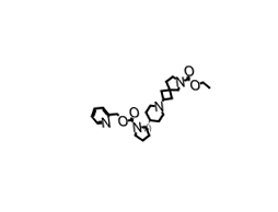 CCOC(=O)N1CCC2(CC(N3CCC([C@@H]4CCCN4C(=O)OCc4ccccn4)CC3)C2)C1